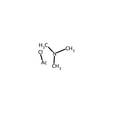 CC(=O)Cl.CN(C)C